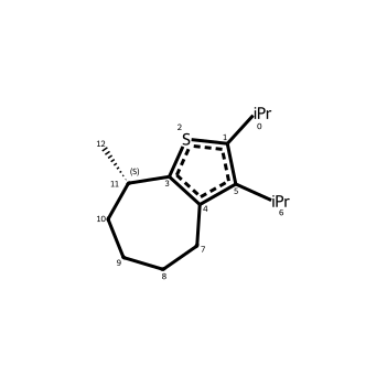 CC(C)c1sc2c(c1C(C)C)CCCC[C@@H]2C